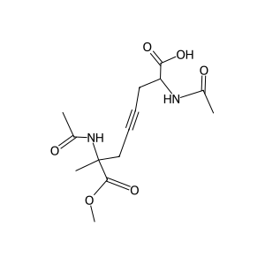 COC(=O)C(C)(CC#CCC(NC(C)=O)C(=O)O)NC(C)=O